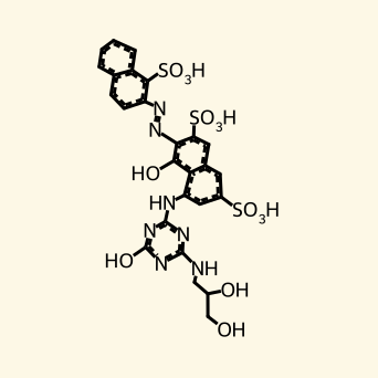 O=S(=O)(O)c1cc(Nc2nc(O)nc(NCC(O)CO)n2)c2c(O)c(/N=N/c3ccc4ccccc4c3S(=O)(=O)O)c(S(=O)(=O)O)cc2c1